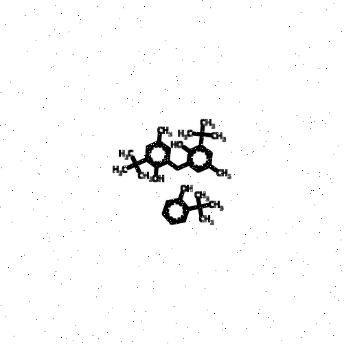 CC(C)(C)c1ccccc1O.Cc1cc(Cc2cc(C)cc(C(C)(C)C)c2O)c(O)c(C(C)(C)C)c1